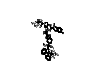 CC(C)(C)OC(=O)N1CC[C@H](NC(=O)C2Cc3cc(Cl)ccc3N2)[C@H](NC(=O)c2nc3c(s2)CN(C(C)(C)CO[Si](c2ccccc2)(c2ccccc2)C(C)(C)C)CC3)C1